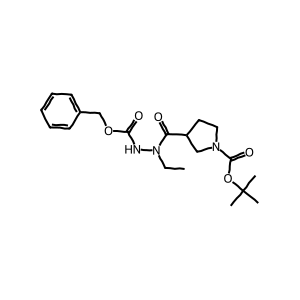 CCN(NC(=O)OCc1ccccc1)C(=O)C1CCN(C(=O)OC(C)(C)C)C1